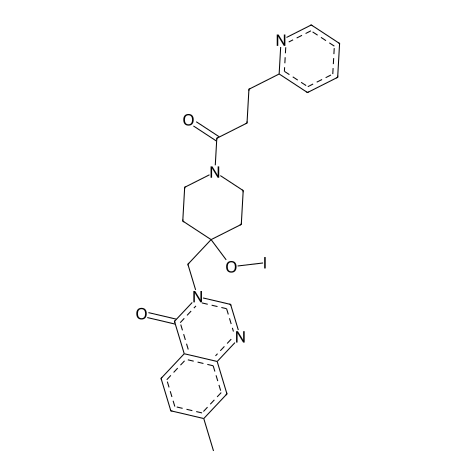 Cc1ccc2c(=O)n(CC3(OI)CCN(C(=O)CCc4ccccn4)CC3)cnc2c1